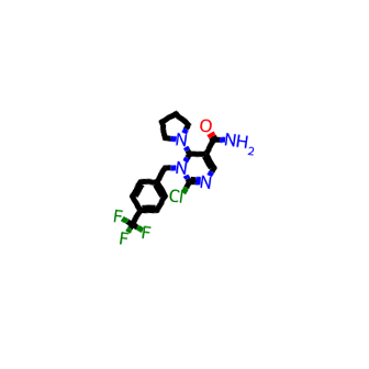 NC(=O)C1=CN=C(Cl)N(Cc2ccc(C(F)(F)F)cc2)C1N1CCCC1